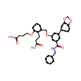 O=C(O)CCCOc1cccc(COc2cc(C(=O)NCc3ccccc3)cc(-c3ccc4c(c3)OCO4)c2)c1CCC(=O)O